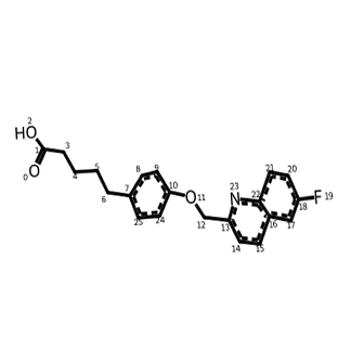 O=C(O)CCCCc1ccc(OCc2ccc3cc(F)ccc3n2)cc1